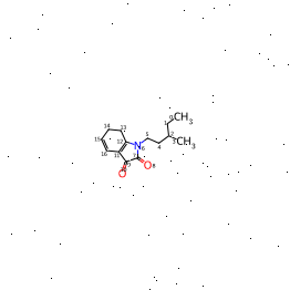 CCC(C)CCN1C(=O)C(=O)C2=C1CCC=C2